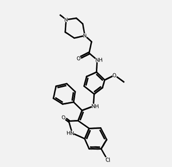 COc1cc(NC(=C2C(=O)Nc3cc(Cl)ccc32)c2ccccc2)ccc1NC(=O)CN1CCN(C)CC1